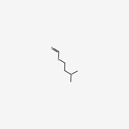 CN(C)CCSC=S